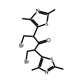 Cc1nc(C)c(C(CBr)C(=O)C(CBr)c2sc(C)nc2C)s1